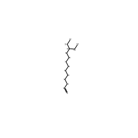 C=CCCCCCCCCC(CC)CC